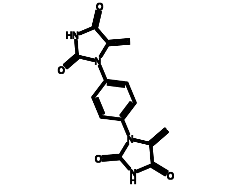 C=C1C(=O)NC(=O)N1c1ccc(N2C(=C)C(=O)NC2=O)cc1